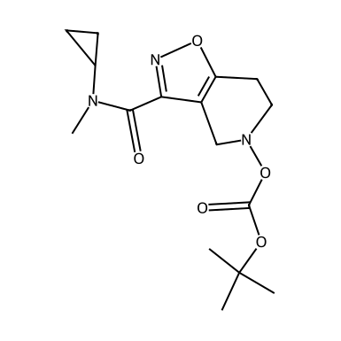 CN(C(=O)c1noc2c1CN(OC(=O)OC(C)(C)C)CC2)C1CC1